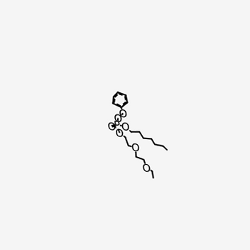 CCCCCCCOP(=O)(OCCOCCOCC)OOc1ccccc1